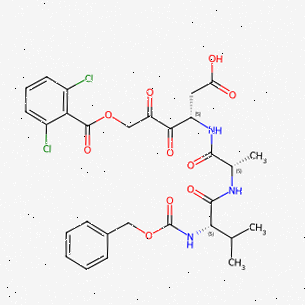 CC(C)[C@H](NC(=O)OCc1ccccc1)C(=O)N[C@@H](C)C(=O)N[C@@H](CC(=O)O)C(=O)C(=O)COC(=O)c1c(Cl)cccc1Cl